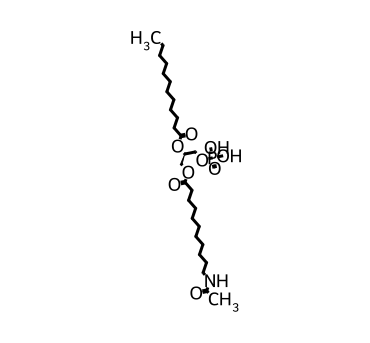 CCCCCCCCCCCC(=O)O[C@H](COC(=O)CCCCCCCCCCNC(C)=O)COP(=O)(O)O